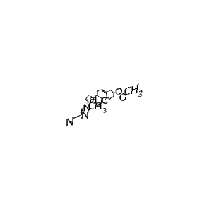 CC(=O)O[C@H]1CC[C@@]2(C)C(=CCC3C2CC[C@]2(C)C(n4cnc(C#N)c4)=CCC32)C1